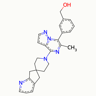 Cc1nc(N2CCC3(CC2)Cc2cccnc2C3)c2ccnn2c1-c1cccc(CO)c1